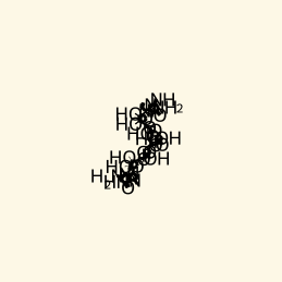 C=CN(c1nc(N)[nH]c(=O)c1C)[C@@H]1O[C@H](COP(=O)(O)OCC(COP(=O)(O)OC[C@H]2O[C@@H](N3CN(C)c4c3nc(N)[nH]c4=O)[C@H](O)[C@@H]2O)OP(=O)(O)O)[C@@H](O)[C@H]1O